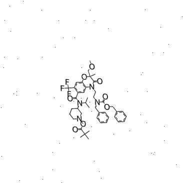 COCC1(C)Oc2cc(C(F)(F)F)c(C(=O)N(C(C)C)[C@@H]3CCCN(OC(=O)C(C)(C)C)C3)cc2N(CCN(Cc2ccccc2)C(=O)OCc2ccccc2)C1=O